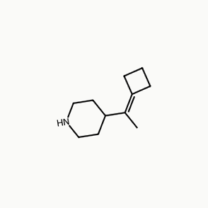 CC(=C1CCC1)C1CCNCC1